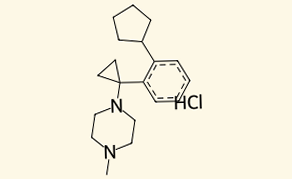 CN1CCN(C2(c3ccccc3C3CCCC3)CC2)CC1.Cl